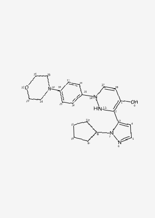 OC1=C(c2ccnn2C2CCCC2)NN(c2ccc(N3CCOCC3)cc2)C=C1